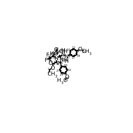 CCOC(=O)CN(C(=O)C(F)(F)F)C(NNc1ccc(OC)cc1)(NNc1ccc(OC)cc1)P(=O)(O)O